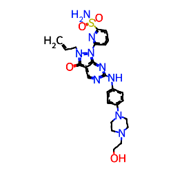 C=CCn1c(=O)c2cnc(Nc3ccc(N4CCN(CCO)CC4)cc3)nc2n1-c1cccc(S(N)(=O)=O)n1